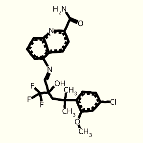 COc1cc(Cl)ccc1C(C)(C)CC(O)(C=Nc1cccc2nc(C(N)=O)ccc12)C(F)(F)F